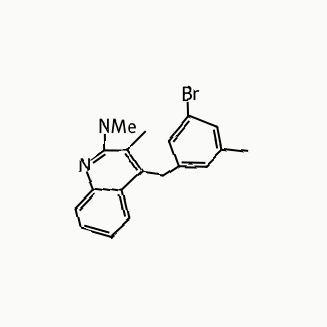 CNc1nc2ccccc2c(Cc2cc(C)cc(Br)c2)c1C